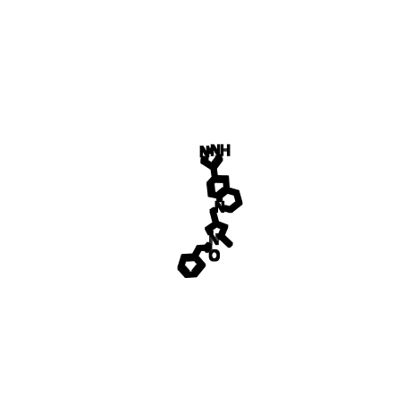 CC1CC(CN2CCCc3cc(-c4cn[nH]c4)ccc32)CN1C(=O)Cc1ccccc1